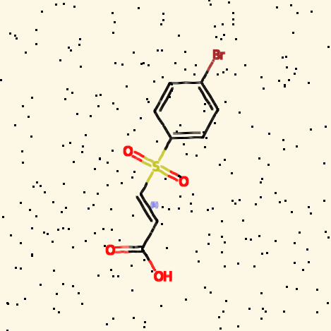 O=C(O)/C=C/S(=O)(=O)c1ccc(Br)cc1